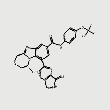 C[C@@H]1COCc2nc3cc(C(=O)Nc4ccc(OC(F)(F)Cl)cc4)cc(-c4cnc5c(c4)C(=O)NC5)c3n21